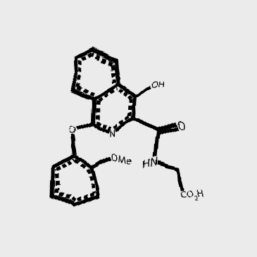 COc1ccccc1Oc1nc(C(=O)NCC(=O)O)c(O)c2ccccc12